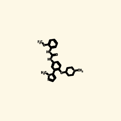 CN1CCC(Oc2ccc(NC(=O)Nc3ccccc3OC(F)(F)F)cc2-c2ccnn2C)CC1